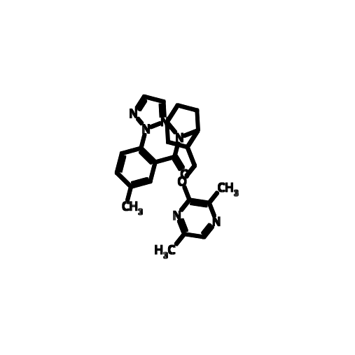 Cc1ccc(-n2nccn2)c(C(=O)N2C3CCC2C(COc2nc(C)cnc2C)C3)c1